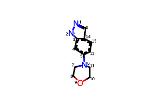 C1=N[N]c2cc(N3CCOCC3)ccc21